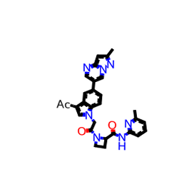 CC(=O)c1cn(CC(=O)N2CCC2C(=O)Nc2cccc(C)n2)c2ccc(-c3cnc4cc(C)nn4c3)cc12